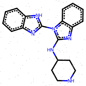 c1ccc2[nH]c(-n3c(NC4CCNCC4)nc4ccccc43)nc2c1